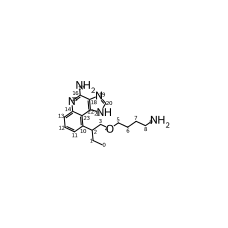 CCC(COCCCCN)c1cccc2nc(N)c3nc[nH]c3c12